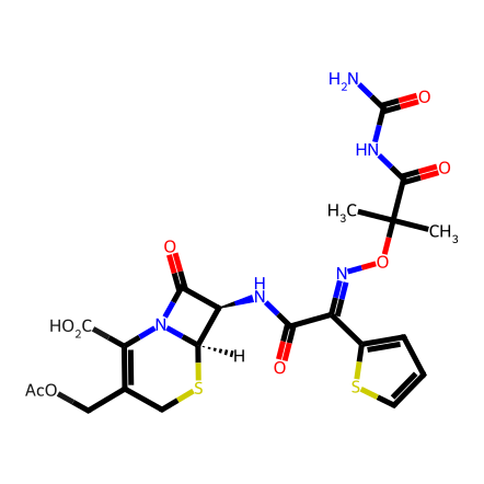 CC(=O)OCC1=C(C(=O)O)N2C(=O)[C@@H](NC(=O)C(=NOC(C)(C)C(=O)NC(N)=O)c3cccs3)[C@H]2SC1